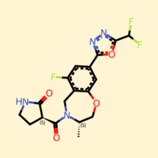 C[C@H]1COc2cc(-c3nnc(C(F)F)o3)cc(F)c2CN1C(=O)[C@H]1CCNC1=O